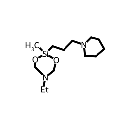 CCN1CO[Si](C)(CCCN2CCCCC2)OC1